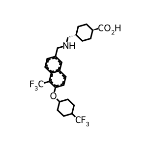 O=C(O)[C@H]1CC[C@H](CNCc2ccc3c(C(F)(F)F)c(OC4CCC(C(F)(F)F)CC4)ccc3c2)CC1